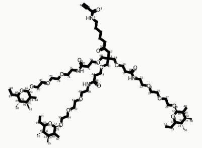 C#CC(=O)NCCCCCC(=O)CC(COCCC(=O)NCCOCCOCCO[C@@H]1OC(CC)[C@@H](C)[C@H](C)C1C)(COCCC(=O)NCCOCCOCCO[C@H]1OC(CC)[C@@H](C)[C@H](C)C1C)COCCC(=O)NCCOCCOCCO[C@H]1OC(CC)[C@@H](C)[C@H](C)C1C